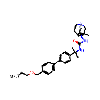 COCCOCc1ccc(-c2ccc(C(C)(C)NC(=O)NC3(C)CN4CCC3CC4)cc2)cc1